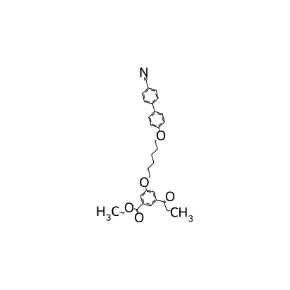 CCOC(=O)c1cc(OCCCCCCOc2ccc(-c3ccc(C#N)cc3)cc2)cc(C(=O)CC)c1